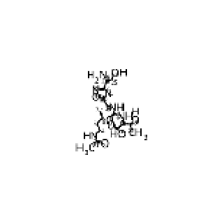 CC(=O)NCCCC[C@@H](NC(=O)NC(C(=O)O)C(C)O)c1nc([C@@H](N)CO)no1